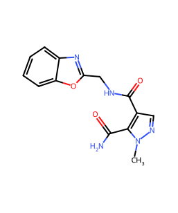 Cn1ncc(C(=O)NCc2nc3ccccc3o2)c1C(N)=O